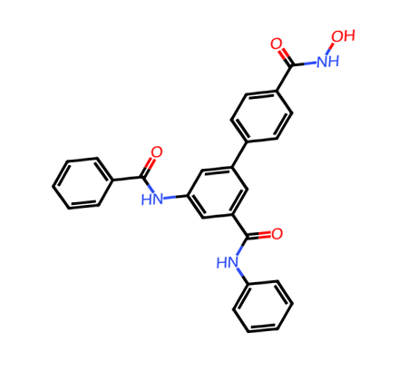 O=C(NO)c1ccc(-c2cc(NC(=O)c3ccccc3)cc(C(=O)Nc3ccccc3)c2)cc1